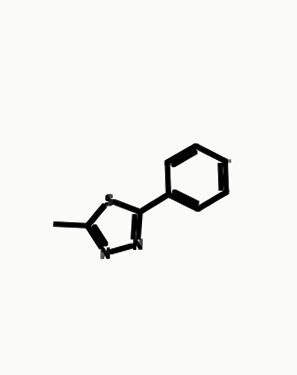 Cc1nnc(-c2cc[c]cc2)s1